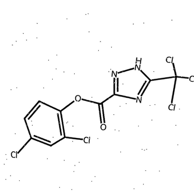 O=C(Oc1ccc(Cl)cc1Cl)c1n[nH]c(C(Cl)(Cl)Cl)n1